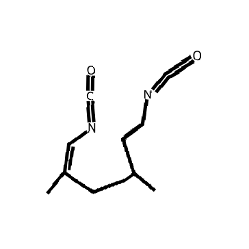 CC(=CN=C=O)CC(C)CCN=C=O